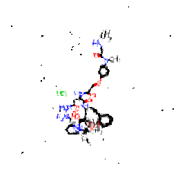 CNCC(=O)N(C)c1ccc(OCC(=O)N[C@@H](CC(N)=O)C(=O)N[C@@H](Cc2ccccc2)[C@H](O)C(=O)[N+]2(C(C)(C)C)CCC[C@H]2C(N)=O)cc1.Cl